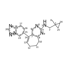 CC1(CNc2ncc3c(n2)CCCC=C3c2ccc3ncnn3c2)CC1